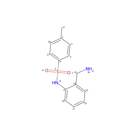 Cc1ccc(S(=O)(=O)Nc2ccccc2CN)cc1